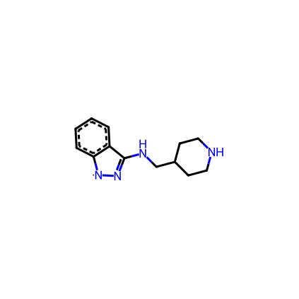 c1ccc2c(c1)[N]N=C2NCC1CCNCC1